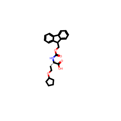 O=C(N[C@@H](CCOC1CCCC1)C(=O)O)OCC1c2ccccc2-c2ccccc21